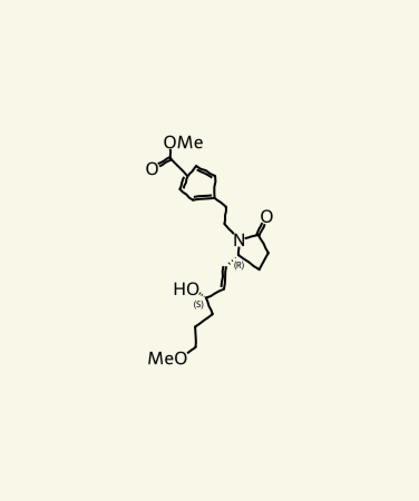 COCCC[C@H](O)C=C[C@H]1CCC(=O)N1CCc1ccc(C(=O)OC)cc1